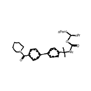 CCCCCC(CCC)OC(=O)NC(C)(C)c1ccc(-c2ccc(C(=O)N3CCCCC3)cc2)cc1